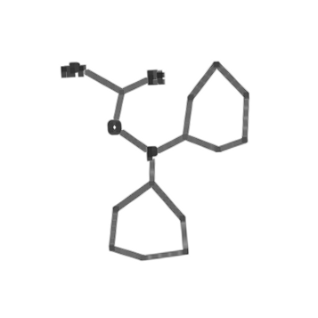 CCCC(CC)OP(C1CCCCC1)C1CCCCC1